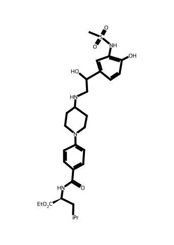 CCOC(=O)[C@H](CC(C)C)NC(=O)c1ccc(N2CCC(NCC(O)c3ccc(O)c(NS(C)(=O)=O)c3)CC2)cc1